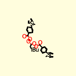 [CH2]CC(C)C[C](OOC(=O)c1ccc([Si](C)(C=C)C=C)cc1)OOC(=O)c1ccc([Si](C)(C=C)C=C)cc1